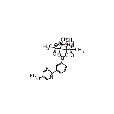 CCOc1cnc(-c2cccc(B3OC(S(C)(=O)=O)(S(C)(=O)=O)C(S(C)(=O)=O)(S(C)(=O)=O)O3)c2)nc1